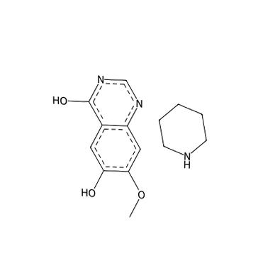 C1CCNCC1.COc1cc2ncnc(O)c2cc1O